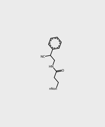 CCCCCCCCCCCC(=O)NCC(C#N)c1ccccc1